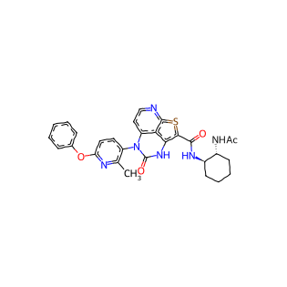 CC(=O)N[C@@H]1CCCC[C@H]1NC(=O)c1sc2nccc3c2c1NC(=O)N3c1ccc(Oc2ccccc2)nc1C